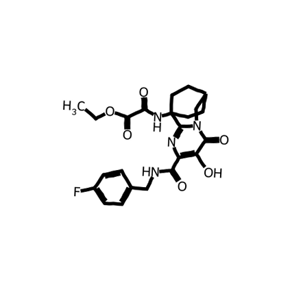 CCOC(=O)C(=O)NC12CCC(CC1)Cn1c2nc(C(=O)NCc2ccc(F)cc2)c(O)c1=O